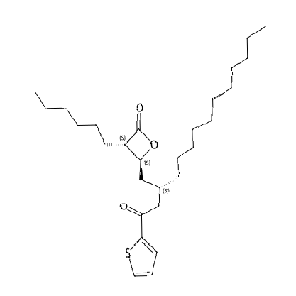 CCCCCCCCCCC[C@H](CC(=O)c1cccs1)C[C@@H]1OC(=O)[C@H]1CCCCCC